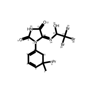 CCCC1(C)C=CC=C(N2C(=O)NC(=O)C2=NC(O)C(Br)(Br)Br)C1